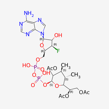 CC(=O)OC[C@@H](OC(C)=O)C1O[C@@H](OP(=O)(O)OP(=O)(O)OC[C@H]2O[C@@H](n3cnc4c(N)ncnc43)C(O)[C@H]2F)C(OC(C)=O)[C@@H](C)[C@@H]1C